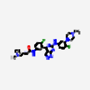 CN(C)C/C=C/C(=O)Nc1ccc(F)c(-c2nc(Nc3ccc(F)c(N4CCN(C)CC4)c3)nc3[nH]ncc23)c1